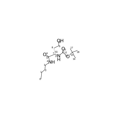 CCCCNC(=O)[C@H](CCO)NC(=O)OC(C)(C)C